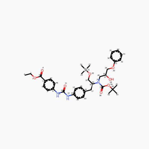 CCOC(=O)c1ccc(NC(=O)Nc2ccc(C[C@@H](CO[Si](C)(C)C)N(C[C@H](O)COc3ccccc3)C(=O)OC(C)(C)C)cc2)cc1